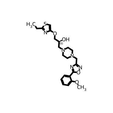 CCc1nc(OC[C@@H](O)CN2CCN(Cc3noc(-c4ccccc4OC)n3)CC2)cs1